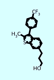 Cc1sc2cc(CCCO)ccc2c1-c1ccc(C(F)(F)F)cc1